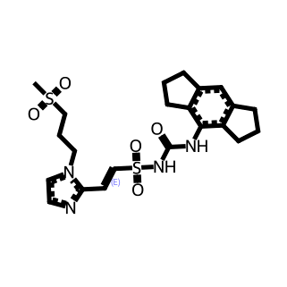 CS(=O)(=O)CCCn1ccnc1/C=C/S(=O)(=O)NC(=O)Nc1c2c(cc3c1CCC3)CCC2